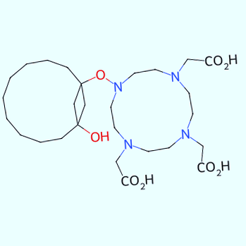 O=C(O)CN1CCN(CC(=O)O)CCN(OC23CCCCCCCCCC(O)(C2)C3)CCN(CC(=O)O)CC1